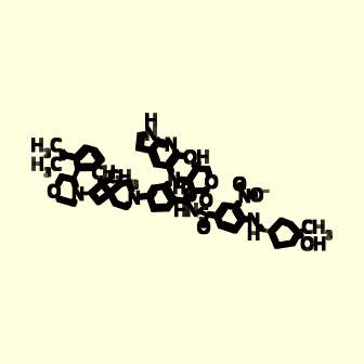 CC(C)c1ccccc1[C@@H]1COCCN1[C@H]1CC2(CCN(c3ccc(C(=O)NS(=O)(=O)c4ccc(NC[C@H]5CC[C@](C)(O)CC5)c([N+](=O)[O-])c4)c(N4c5cc6cc[nH]c6nc5O[C@H]5COCC[C@@H]54)c3)CC2)C1(C)C